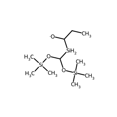 CCC([O])[SiH2]C(O[Si](C)(C)C)O[Si](C)(C)C